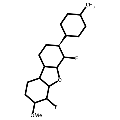 COC1CCC2C3CC[C@@H](C4CCC(C)CC4)C(F)C3OC2C1F